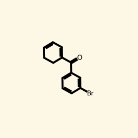 O=C(C1=CC=CCC1)c1cccc(Br)c1